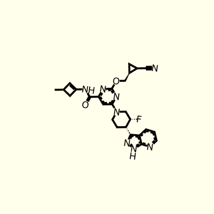 CC1C=C(NC(=O)c2cc(N3CC[C@@H](c4n[nH]c5ncccc45)[C@@H](F)C3)nc(OC[C@H]3CC3C#N)n2)C1